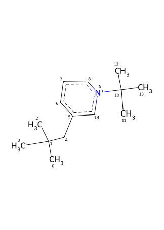 CC(C)(C)Cc1ccc[n+](C(C)(C)C)c1